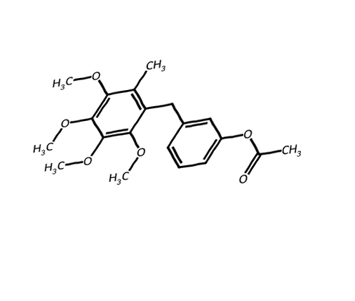 COc1c(C)c(Cc2cccc(OC(C)=O)c2)c(OC)c(OC)c1OC